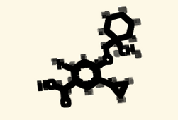 CC1(COc2cc(F)c(C(=O)O)cc2C2CC2)CCCCC1